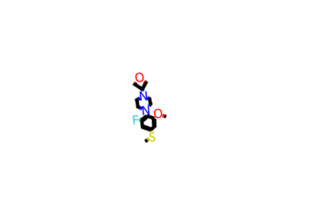 COc1cc(SC)cc(F)c1N1CCN(C2COC2)CC1